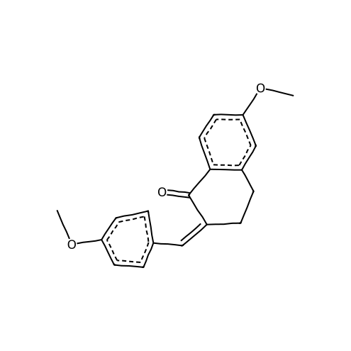 COc1ccc(C=C2CCc3cc(OC)ccc3C2=O)cc1